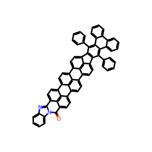 O=c1c2ccc3c4ccc5c6ccc7c8c(ccc(c9ccc(c%10ccc(c2c3%10)c2nc3ccccc3n12)c4c59)c86)-c1c-7c(-c2ccccc2)c2c3ccccc3c3ccccc3c2c1-c1ccccc1